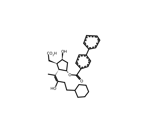 CC(=C(O)CCC1CCCCC1)[C@@H]1[C@@H](CC(=O)O)[C@@H](O)C[C@@H]1OC(=O)c1ccc(-c2ccccc2)cc1